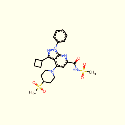 CS(=O)(=O)NC(=O)c1cc(N2CCC(S(C)(=O)=O)CC2)c2c(C3CCC3)nn(-c3ccccc3)c2n1